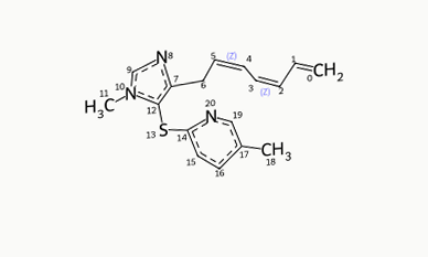 C=C/C=C\C=C/Cc1ncn(C)c1Sc1ccc(C)cn1